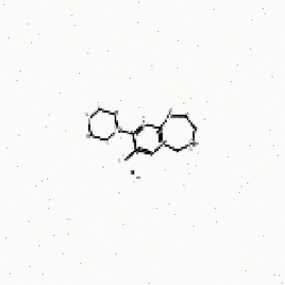 Brc1cc2c(nc1N1CCOCC1)OCCNC2.Cl